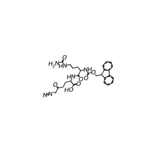 [N-]=[N+]=CC(=O)CCC(NC(=O)C(CCCNC(N)=O)NC(=O)OCC1c2ccccc2-c2ccccc21)C(=O)O